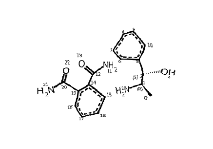 C[C@@H](N)[C@@H](O)c1ccccc1.NC(=O)c1ccccc1C(N)=O